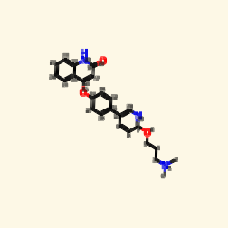 CN(C)CCCOc1ccc(-c2ccc(Oc3cc(=O)[nH]c4ccccc34)cc2)cn1